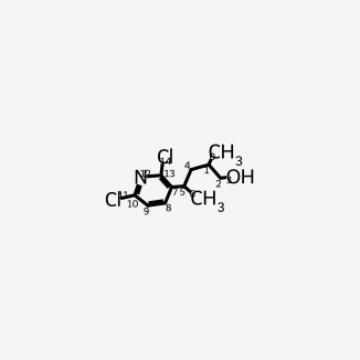 CC(CO)CC(C)c1ccc(Cl)nc1Cl